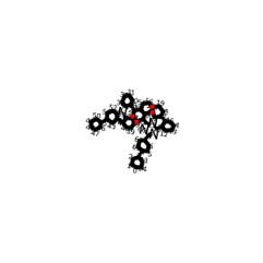 c1ccc(-c2ccc(-c3nc(-c4ccccc4-c4ccccc4)nc(-c4ccc(-c5ccccc5-n5c6ccccc6c6cc(-c7ccccc7)ccc65)c5ccccc45)n3)cc2)cc1